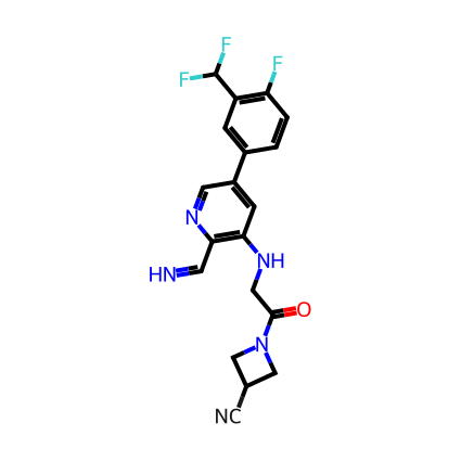 N#CC1CN(C(=O)CNc2cc(-c3ccc(F)c(C(F)F)c3)cnc2C=N)C1